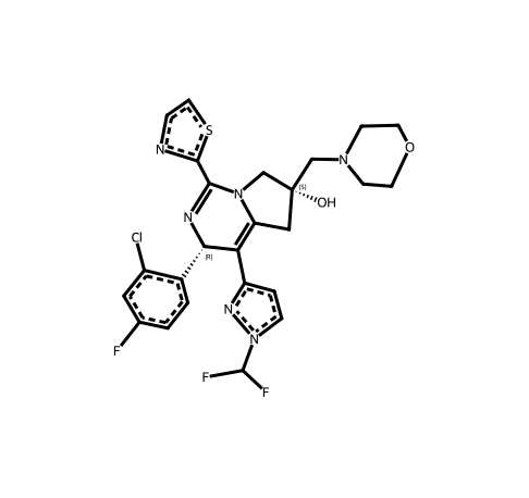 O[C@]1(CN2CCOCC2)CC2=C(c3ccn(C(F)F)n3)[C@H](c3ccc(F)cc3Cl)N=C(c3nccs3)N2C1